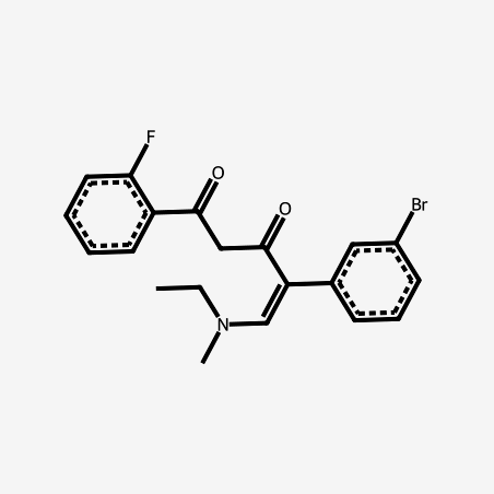 CCN(C)C=C(C(=O)CC(=O)c1ccccc1F)c1cccc(Br)c1